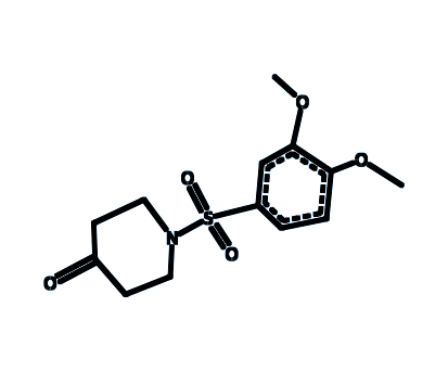 COc1ccc(S(=O)(=O)N2CCC(=O)CC2)cc1OC